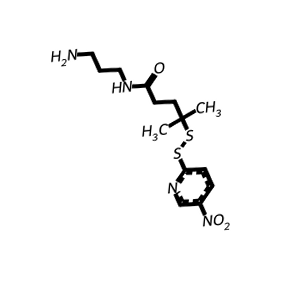 CC(C)(CCC(=O)NCCCN)SSc1ccc([N+](=O)[O-])cn1